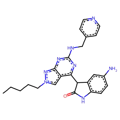 CCCCCn1cc2c(C3C(=O)Nc4ccc(N)cc43)nc(NCc3ccncc3)nc2n1